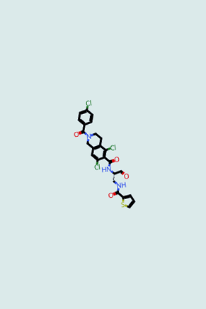 O=C[C@H](CNC(=O)c1cccs1)NC(=O)c1c(Cl)cc2c(c1Cl)CCN(C(=O)c1ccc(Cl)cc1)C2